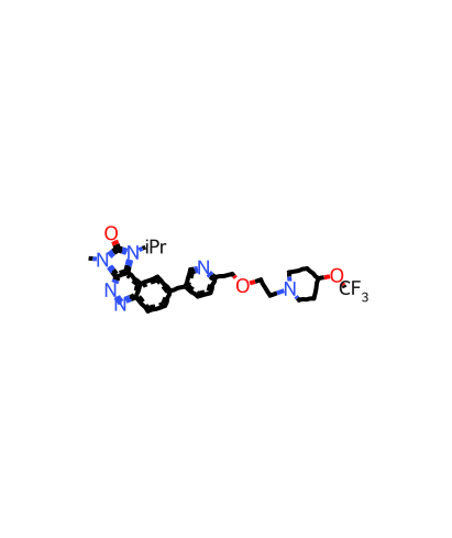 CC(C)n1c(=O)n(C)c2nnc3ccc(-c4ccc(COCCN5CCC(OC(F)(F)F)CC5)nc4)cc3c21